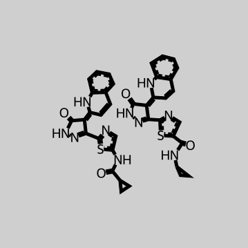 O=C1NN=C(c2ncc(C(=O)NC3CC3)s2)C1=C1C=Cc2ccccc2N1.O=C1NN=C(c2ncc(NC(=O)C3CC3)s2)C1=C1C=Cc2ccccc2N1